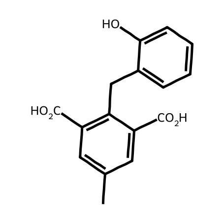 Cc1cc(C(=O)O)c(Cc2ccccc2O)c(C(=O)O)c1